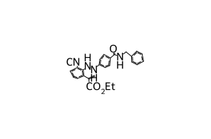 C=C(C(=O)OCC)c1cccc(C#N)c1NNc1ccc(C(=O)NCc2ccccc2)cc1